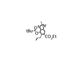 C=CCc1c(C(=O)OCC)cc2c(nc(C)n2C)c1OC(=O)C(C)(C)C